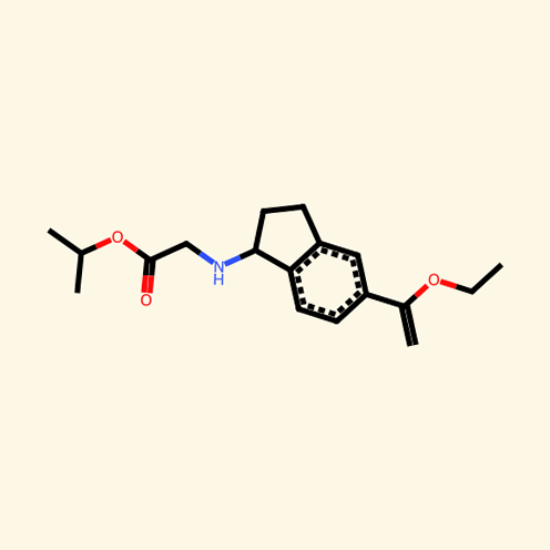 C=C(OCC)c1ccc2c(c1)CCC2NCC(=O)OC(C)C